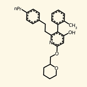 CCCc1ccc(CCc2nc(OCC3CCCCO3)cc(O)c2-c2ccccc2C)cc1